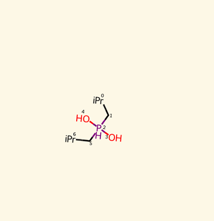 CC(C)C[PH](O)(O)CC(C)C